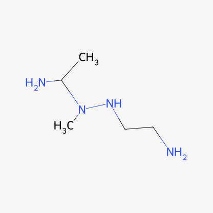 CC(N)N(C)NCCN